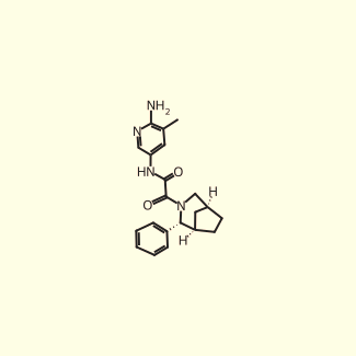 Cc1cc(NC(=O)C(=O)N2C[C@H]3CC[C@H](C3)[C@@H]2c2ccccc2)cnc1N